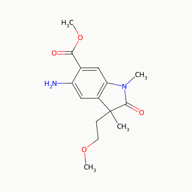 COCCC1(C)C(=O)N(C)c2cc(C(=O)OC)c(N)cc21